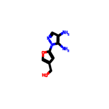 Nc1cnn(-c2cc(CO)co2)c1N